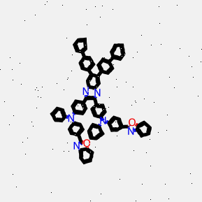 c1ccc(-c2ccc(-c3cc4nc(-c5ccc(N(c6ccccc6)c6ccc(-c7nc8ccccc8o7)cc6)cc5)c(-c5ccc(N(c6ccccc6)c6ccc(-c7nc8ccccc8o7)cc6)cc5)nc4cc3-c3ccc(-c4ccccc4)cc3)cc2)cc1